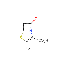 CCCC1=C(C(=O)O)N2C(=O)CC2S1